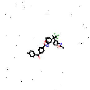 Cc1ccc(C(=O)c2ccc(-c3nc4cc(C(C)(c5ccc6oc(C)nc6c5)C(F)(F)F)ccc4o3)cc2)cc1